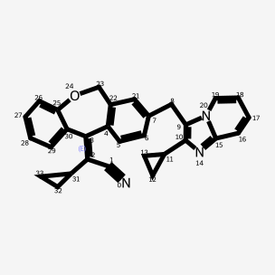 N#C/C(=C1\c2ccc(Cc3c(C4CC4)nc4ccccn34)cc2COc2ccccc21)C1CC1